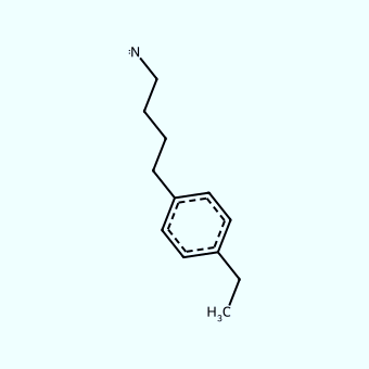 CCc1ccc(CCCC[N])cc1